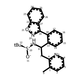 Cc1cccnc1CC(N[S@@+]([O-])C(C)(C)C)c1ccccc1-c1noc2ccccc12